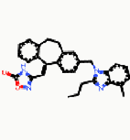 CCCc1nc2c(C)cccc2n1Cc1ccc2c(c1)CCc1ccccc1/C2=C\c1noc(=O)[nH]1